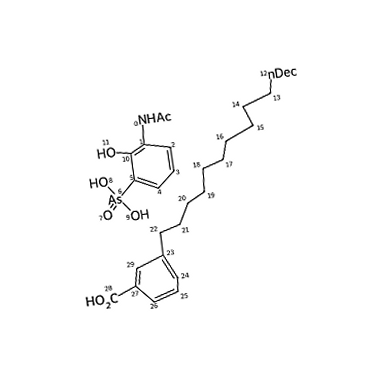 CC(=O)Nc1cccc([As](=O)(O)O)c1O.CCCCCCCCCCCCCCCCCCCCc1cccc(C(=O)O)c1